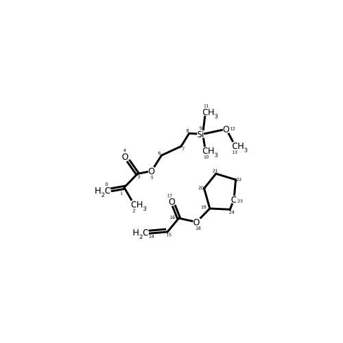 C=C(C)C(=O)OCCC[Si](C)(C)OC.C=CC(=O)OC1CCCCC1